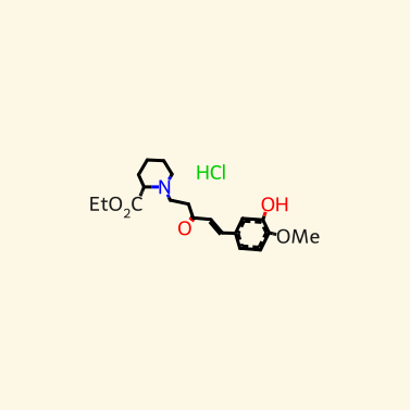 CCOC(=O)C1CCCCN1CCC(=O)C=Cc1ccc(OC)c(O)c1.Cl